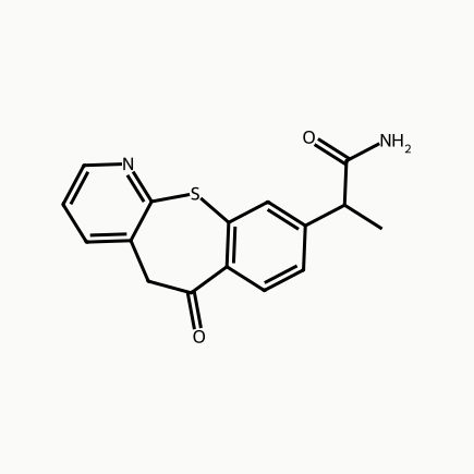 CC(C(N)=O)c1ccc2c(c1)Sc1ncccc1CC2=O